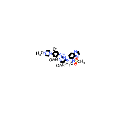 CCc1cc(Nc2ncc(OC)c(Nc3ccc4nccnc4c3N(C)S(C)(=O)=O)n2)c(OC)cc1N1CCN(C)CC1